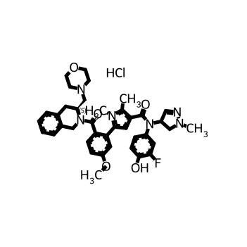 COc1ccc(C(=O)N2Cc3ccccc3C[C@H]2CN2CCOCC2)c(-c2cc(C(=O)N(c3ccc(O)c(F)c3)C3C=NN(C)C3)c(C)n2C)c1.Cl